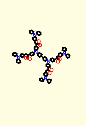 O=c1oc2cc(N(c3ccccc3)c3ccccc3)ccc2cc1-c1ccc(N(c2ccc(-c3ccc(N(c4ccc(-c5cc6ccc(N(c7ccccc7)c7ccccc7)cc6oc5=O)cc4)c4ccc(-c5cc6ccc(N(c7ccccc7)c7ccccc7)cc6oc5=O)cc4)cc3)cc2)c2ccc(-c3cc4ccc(N(c5ccccc5)c5ccccc5)cc4oc3=O)cc2)cc1